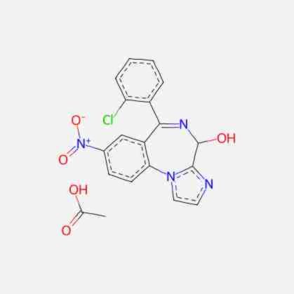 CC(=O)O.O=[N+]([O-])c1ccc2c(c1)C(c1ccccc1Cl)=NC(O)c1nccn1-2